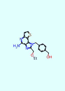 CCOCc1nc2c(N)nc3ccsc3c2n1Cc1ccc(CO)cc1